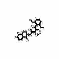 CCc1cccc(CC)c1-c1ncc(CN2CCc3ccccc3C2C)c(OC)c1C